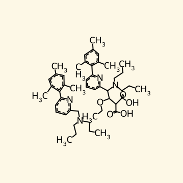 CCCN(CCC)C(c1cccc(-c2c(C)cc(C)cc2C)n1)C(OCC)C(C(=O)O)C(=O)O.CCCN(CCC)Cc1cccc(-c2c(C)cc(C)cc2C)n1